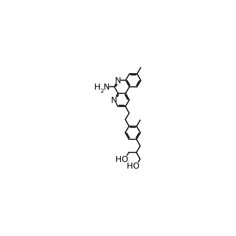 Cc1ccc2c(c1)nc(N)c1ncc(CCc3ccc(CC(CO)CO)cc3C)cc12